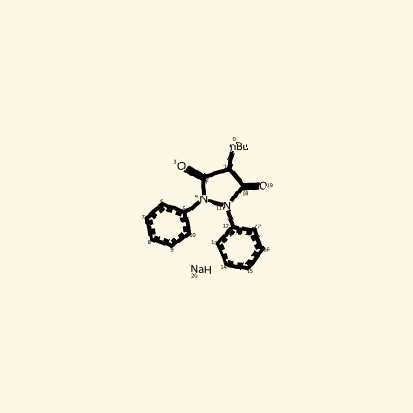 CCCCC1C(=O)N(c2ccccc2)N(c2ccccc2)C1=O.[NaH]